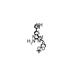 CCN(CC(=O)OC(C)(C)C)Cc1nc2c(N)nc3cc(-c4cc[nH]n4)sc3c2n1C